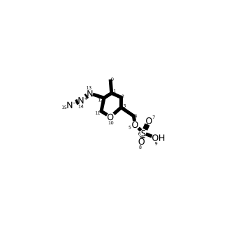 CC1CC(COS(=O)(=O)O)OCC1N=[N+]=[N-]